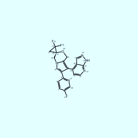 Fc1ccc(-c2nn3c(c2-c2ccnc4[nH]ncc24)CO[C@]2(C3)CC2(F)F)nc1